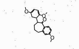 COC1=CC=C(OC)C(C2CCCc3cc(OC)ccc3C2=O)C1